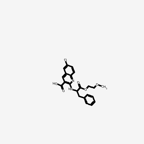 COCCOC(=O)C(Cc1ccccc1)Nc1nc2ccc(Cl)cc2cc1C(=O)O